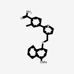 COc1ccc(OCc2ccnc(-c3ccc(C(N)=O)c(C)c3)c2)c2ccccc12